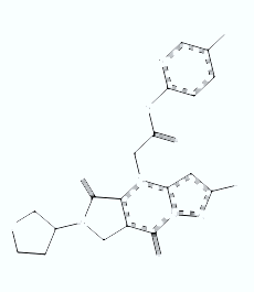 CCc1cc2n(CC(=O)Nc3ccc(F)cn3)c3c(c(=O)n2n1)CN(C1CCOC1)C3=O